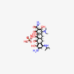 CC(C)Nc1cc(N)c(O)c2c1CC1CC3[C@H](N(C)C)C(O)=C(C(N)=O)C(=O)[C@@]3(O)C(O)=C1C2=O.O=S(=O)(O)O